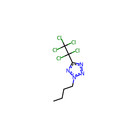 CCCCn1nnc(C(Cl)(Cl)C(Cl)(Cl)Cl)n1